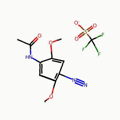 COc1cc(NC(C)=O)c(OC)cc1[N+]#N.O=S(=O)([O-])C(F)(F)F